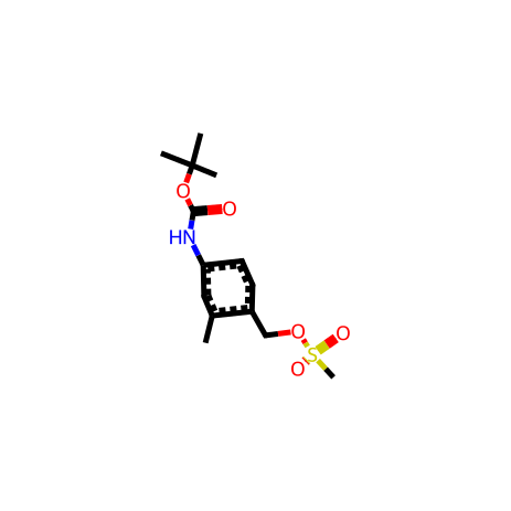 Cc1cc(NC(=O)OC(C)(C)C)ccc1COS(C)(=O)=O